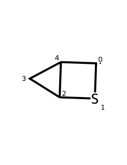 [CH]1SC2CC12